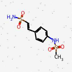 CS(=O)(=O)Nc1ccc(/C=C/S(N)(=O)=O)cc1